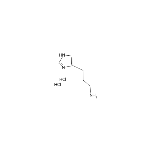 Cl.Cl.NCCCc1c[nH]cn1